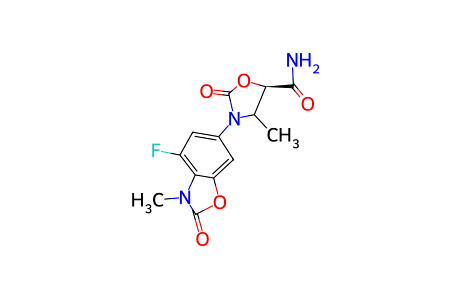 CC1[C@H](C(N)=O)OC(=O)N1c1cc(F)c2c(c1)oc(=O)n2C